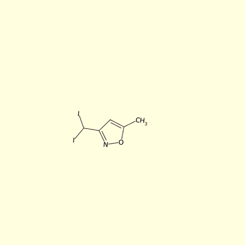 Cc1cc(C(I)I)no1